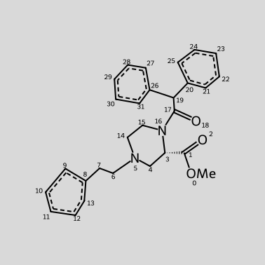 COC(=O)[C@@H]1CN(CCc2ccccc2)CCN1C(=O)C(c1ccccc1)c1ccccc1